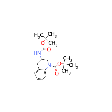 CC(C)(C)OC(=O)NC1Cc2ccccc2N(C(=O)OC(C)(C)C)C1